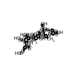 Cc1cc(N=Nc2c(S(=O)(=O)O)cc3c(S(=O)(=O)O)c(N=Nc4cc(S(=O)(=O)O)c5cc(SOOO)c(N=Nc6ccc(SOOO)cc6[N+](=O)[O-])c(O)c5c4N)ccc3c2O)c(OCCCSOOO)cc1N=Nc1ccc(S(=O)(=O)O)c2cccc(SOOO)c12